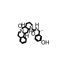 C[C@@H](NC(=O)N1CCC[C@@H]2C(=O)N3CCc4ccccc4[C@@H]3C[C@@H]21)c1cccc(O)c1